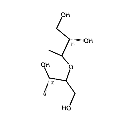 CC(OC(CO)[C@H](C)O)[C@@H](O)CO